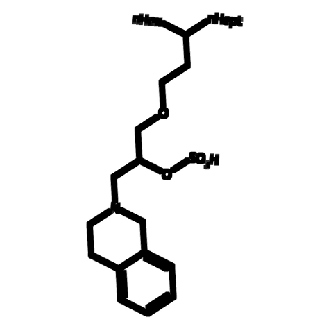 CCCCCCCC(CCCCCC)CCOCC(CN1CCc2ccccc2C1)OS(=O)(=O)O